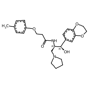 Cc1ccc(OCCC(=O)N[C@H](CN2CCCC2)[C@H](O)c2ccc3c(c2)OCCO3)cc1